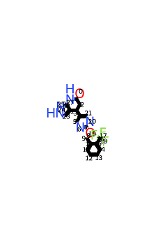 O=C1CC(c2cnc(OCc3ccccc3C(F)(F)F)nc2)c2c[nH]nc2N1